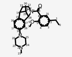 CCc1ccc(OC)c(C(=O)N2CCC3c4ccc(N5CCN(C)CC5)cc4C2[C@H]3C)c1